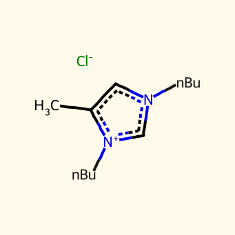 CCCCn1cc(C)[n+](CCCC)c1.[Cl-]